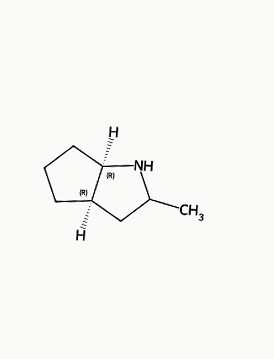 CC1C[C@H]2CCC[C@H]2N1